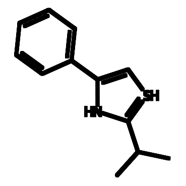 CC(C)C1=[SH]C=C(c2ccccc2)N1